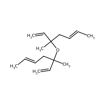 C=CC(C)(CC=CC)OC(C)(C=C)CC=CC